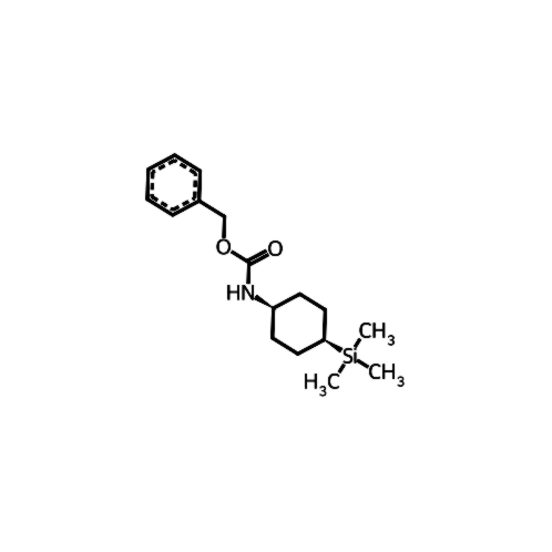 C[Si](C)(C)[C@H]1CC[C@@H](NC(=O)OCc2ccccc2)CC1